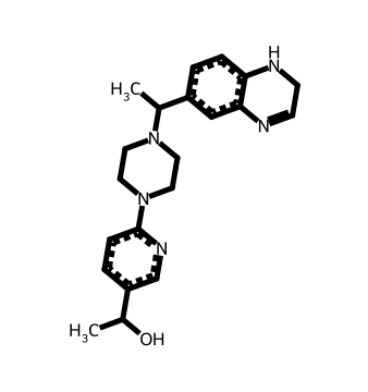 CC(O)c1ccc(N2CCN(C(C)c3ccc4c(c3)N=CCN4)CC2)nc1